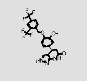 COc1cc([C@@H]2CC(=O)Nc3n[nH]cc32)ccc1OCc1ccc(C(F)(F)F)cc1C(F)(F)F